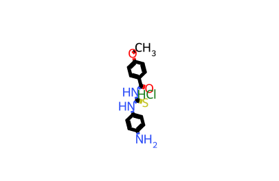 COc1ccc(C(=O)NC(=S)Nc2ccc(N)cc2)cc1.Cl